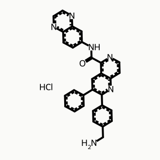 Cl.NCc1ccc(-c2nc3ccnc(C(=O)Nc4ccc5nccnc5c4)c3cc2-c2ccccc2)cc1